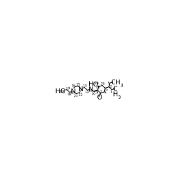 CCC(CC)C1CC(=O)C(=CNCCN2CCN(CCO)CC2)C(=O)C1